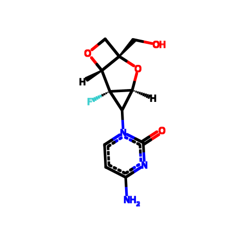 Nc1ccn(C2[C@@H]3O[C@@]4(CO)CO[C@H]4[C@]23F)c(=O)n1